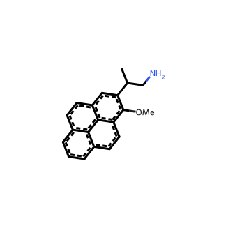 COc1c(C(C)CN)cc2ccc3cccc4ccc1c2c34